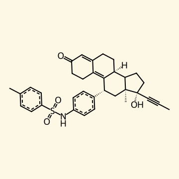 CC#C[C@]1(O)CCC2[C@@H]3CCC4=CC(=O)CCC4=C3[C@@H](c3ccc(NS(=O)(=O)c4ccc(C)cc4)cc3)C[C@@]21C